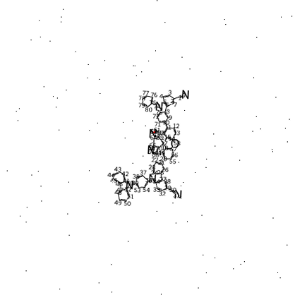 N#Cc1ccc2c(c1)c1cc(-c3ccc4c(c3)C3(c5cc(-c6ccc7c(c6)c6cc(C#N)ccc6n7-c6ccc(-n7c8ccccc8c8ccccc87)cc6)ccc5O4)c4cccnc4-c4ncccc43)ccc1n2-c1ccccc1